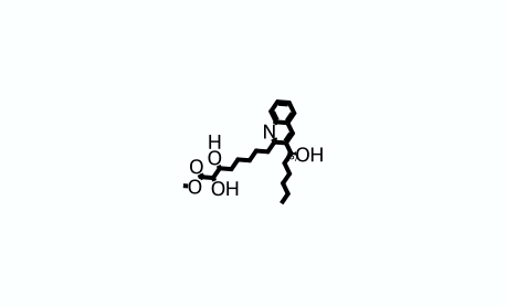 CCCCC[C@H](O)c1cc2ccccc2nc1CCCCCC(O)C(O)C(=O)OC